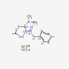 CN(C)[C@H]1CCCCC[C@@H]1NCc1ccccc1.Cl.Cl